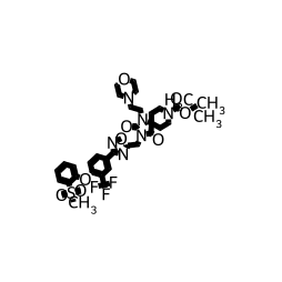 CC(C)(C)OC(=O)N1CCC2(CC1)C(=O)N(Cc1nc(-c3ccc(Oc4ccccc4S(C)(=O)=O)c(C(F)(F)F)c3)no1)C(=O)N2CCN1CCOCC1